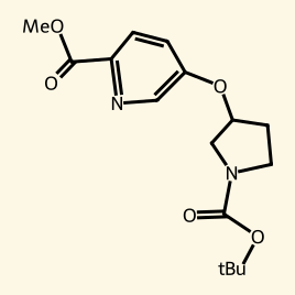 COC(=O)c1ccc(OC2CCN(C(=O)OC(C)(C)C)C2)cn1